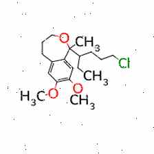 CCC(CCCCl)C1(C)OCCCc2cc(OC)c(OC)cc21